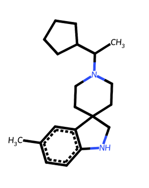 Cc1ccc2c(c1)C1(CCN(C(C)C3CCCC3)CC1)CN2